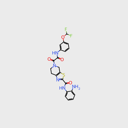 Nc1ccccc1NC(=O)c1nc2c(s1)CN(C(=O)C(=O)Nc1cccc(OC(F)F)c1)CC2